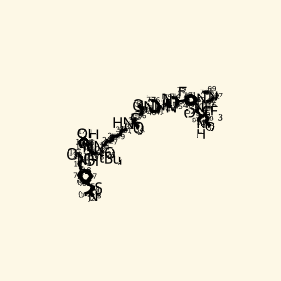 Cc1ncsc1-c1ccc(CNC(=O)[C@@H]2C[C@@H](O)CN2C(=O)C(NC(=O)CCCCCCNC(=O)CCC(=O)N2CCN(c3ncc(-c4cc(NC(=O)c5c[nH]c(=O)cc5C(F)(F)F)c(N5C[C@@H](C)N(C)[C@@H](C)C5)cc4F)cn3)CC2)C(C)(C)C)cc1